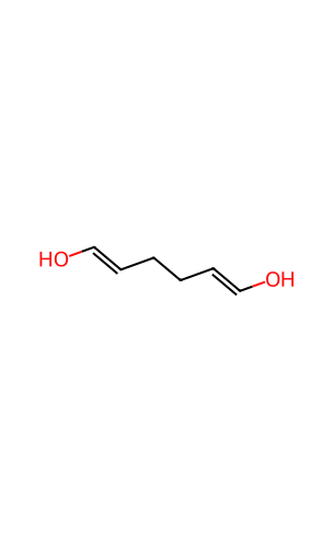 O/C=C/CC/C=C/O